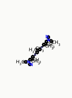 Cc1ccc(N(c2cccnc2)c2ccc3c(c2)C(C)(C)c2cc(/C=C/c4ccc5c(c4)C(C)(C)c4cc(/C=C/c6ccc7c(c6)C(C)(C)c6cc(N(c8ccc(C)cc8)c8cccnc8)ccc6-7)ccc4-5)ccc2-3)cc1